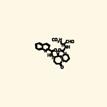 O=C[C@H](CC(=O)O)NC(=O)[C@@H]1CCCN2C(=O)CC[C@H](NC(=O)c3ccc4ccccc4n3)C(=O)N12